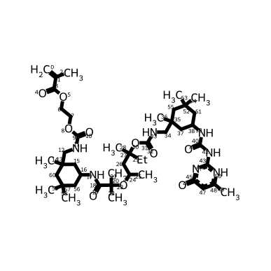 C=C(C)C(=O)OCCOC(=O)NCC1(C)CC(NC(=O)C(C)(C)OC(C)CC(C)(CC)OC(=O)NCC2(C)CC(NC(=O)Nc3nc(=O)cc(C)[nH]3)CC(C)(C)C2)CC(C)(C)C1